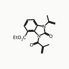 C=C(C)C(=O)n1c(=O)n(C(=C)C)c2cccc(C(=O)OCC)c21